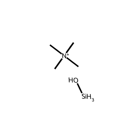 C[N+](C)(C)C.O[SiH3]